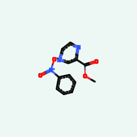 COC(=O)c1cnccn1.O=[N+]([O-])c1ccccc1